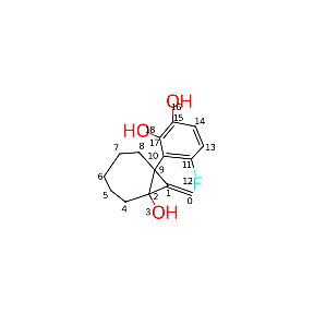 C=C1C2(O)CCCCCC12c1c(F)ccc(O)c1O